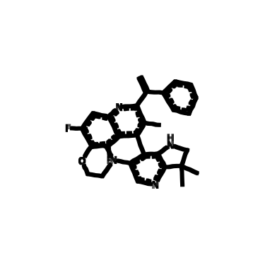 C=C(c1ccccc1)c1nc2cc(F)cc(F)c2c(-c2c(N3CCOCC3)cnc3c2NCC3(C)C)c1C